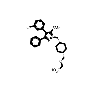 CSc1c(-c2cccc(Cl)c2)c(-c2ccccc2)nn1C[C@H]1CC[C@@H](COCC(=O)O)CC1